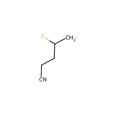 [CH2]C(F)CCC#N